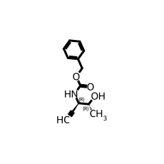 C#C[C@@H](NC(=O)OCc1ccccc1)[C@@H](C)O